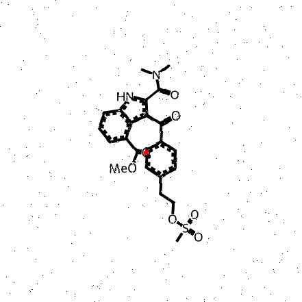 COC(=O)c1cccc2[nH]c(C(=O)N(C)C)c(C(=O)c3ccc(CCOS(C)(=O)=O)cc3)c12